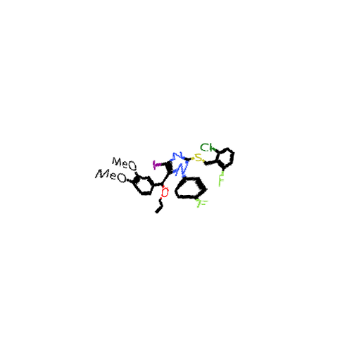 C=CCOC(c1ccc(OC)c(OC)c1)c1c(I)nc(SCc2c(F)cccc2Cl)n1-c1ccc(F)cc1